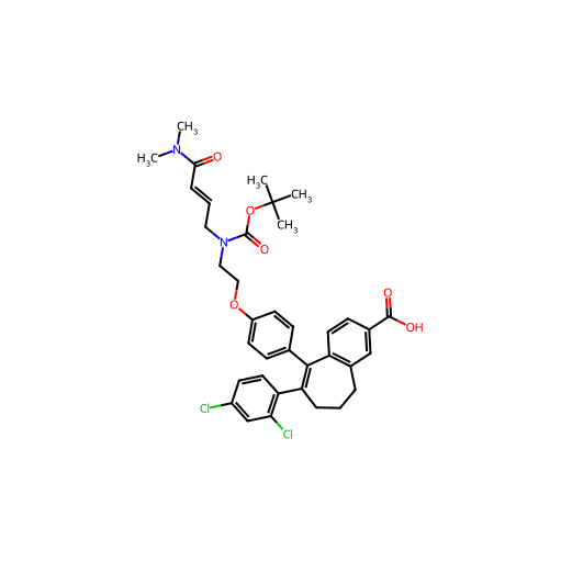 CN(C)C(=O)/C=C/CN(CCOc1ccc(C2=C(c3ccc(Cl)cc3Cl)CCCc3cc(C(=O)O)ccc32)cc1)C(=O)OC(C)(C)C